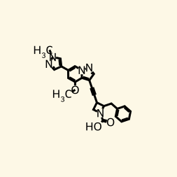 COc1cc(-c2cnn(C)c2)cn2ncc(C#CC3CN(C(=O)O)C3Cc3ccccc3)c12